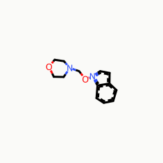 c1ccc2c(c1)ccn2OCN1CCOCC1